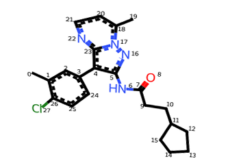 Cc1cc(-c2c(NC(=O)CCC3CCCC3)nn3c(C)ccnc23)ccc1Cl